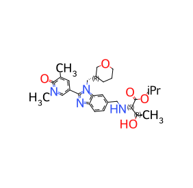 Cc1cc(-c2nc3ccc(CN[C@H](C(=O)OC(C)C)[C@@H](C)O)cc3n2C[C@H]2CCCOC2)cn(C)c1=O